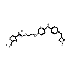 Nc1nc(/C(C=O)=N/OCCOc2ccc(Nc3cc[n+](CC4CNC4)cc3)nc2)cs1